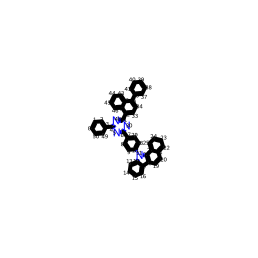 c1ccc(-c2nc(-c3ccc(-n4c5ccccc5c5ccc6ccccc6c54)cc3)nc(-c3ccc(-c4ccccc4)c4ccccc34)n2)cc1